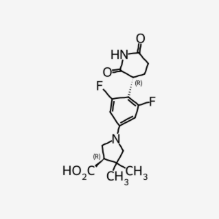 CC1(C)CN(c2cc(F)c([C@H]3CCC(=O)NC3=O)c(F)c2)C[C@@H]1C(=O)O